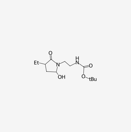 CCC1CC(O)N(CCNC(=O)OC(C)(C)C)C1=O